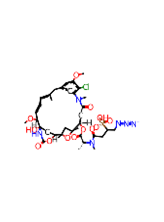 COc1cc2cc(c1Cl)N(C)C(=O)C[C@H](OC(=O)[C@@H](C)N(C)C(=O)CC(CN=[N+]=[N-])S(=O)(=O)O)[C@@]1(C)CC(C)(O1)[C@@H]1C[C@@](O)(NC(=O)O1)[C@H](OC)/C=C/C=C(\C)C2